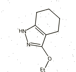 CCOc1n[nH]c2c1CCCC2